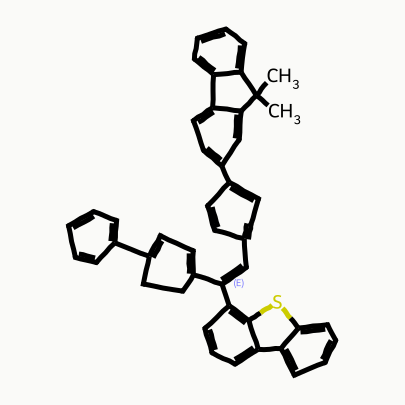 CC1(C)c2ccccc2-c2ccc(-c3ccc(/C=C(\C4=CC=C(c5ccccc5)CC4)c4cccc5c4sc4ccccc45)cc3)cc21